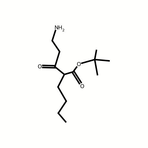 CCCCC(C(=O)CCN)C(=O)OC(C)(C)C